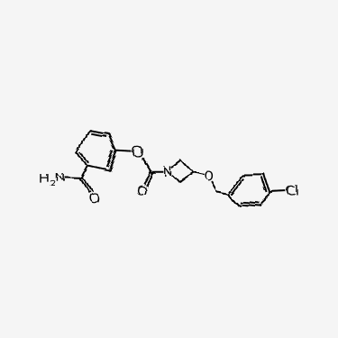 NC(=O)c1cccc(OC(=O)N2CC(OCc3ccc(Cl)cc3)C2)c1